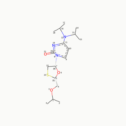 CC(C)OC[C@H]1O[C@@H](n2ccc(N(C(C)C)C(C)C)nc2=O)CS1